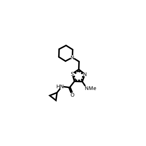 CNc1nc(CN2CCCCC2)sc1C(=O)NC1CC1